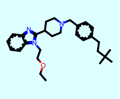 CCOCCn1c(C2CCN(Cc3ccc(CCC(C)(C)C)cc3)CC2)nc2ccccc21